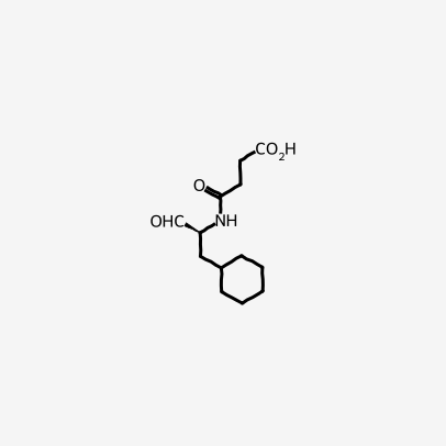 O=C[C@H](CC1CCCCC1)NC(=O)CCC(=O)O